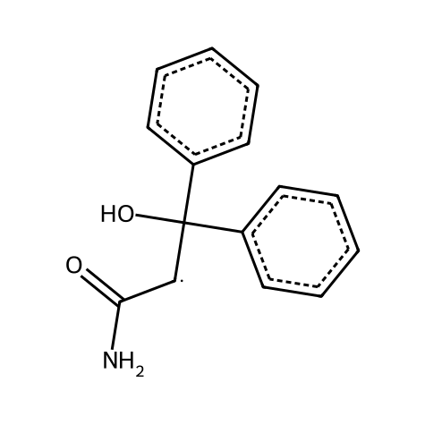 NC(=O)[CH]C(O)(c1ccccc1)c1ccccc1